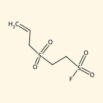 C=CCS(=O)(=O)CCS(=O)(=O)F